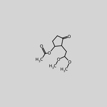 COC(CC1C(=O)CCC1OC(C)=O)OC